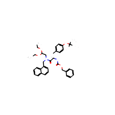 CCOC(CN(Cc1cccc2ccccc12)C(=O)[C@H](Cc1ccc(OC(C)(C)C)cc1)NC(=O)OCc1ccccc1)OCC